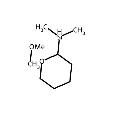 COC.C[SiH](C)C1CCCCO1